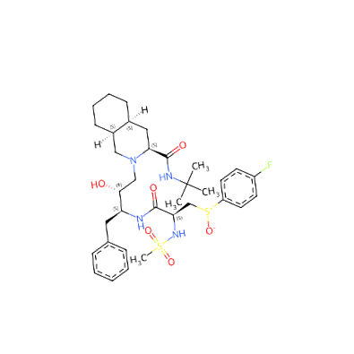 CC(C)(C)NC(=O)[C@@H]1C[C@@H]2CCCC[C@@H]2CN1C[C@@H](O)[C@H](Cc1ccccc1)NC(=O)[C@@H](C[S+]([O-])c1ccc(F)cc1)NS(C)(=O)=O